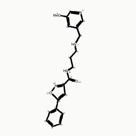 COc1cncc(CNCCCNC(=O)c2cc(-c3ccccc3)on2)c1